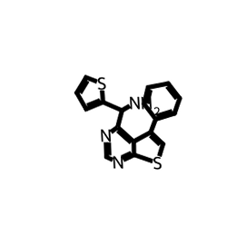 NC(c1cccs1)c1ncnc2scc(-c3ccccc3)c12